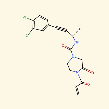 C=CC(=O)N1CCN(C(=O)N[C@@H](C)C#Cc2ccc(Cl)c(Cl)c2)CC1=O